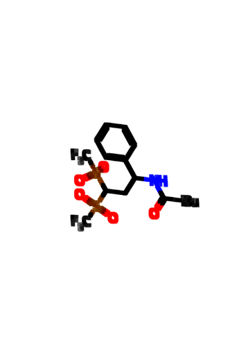 CCC(C)C(=O)NC(CC(S(=O)(=O)C(F)(F)F)S(=O)(=O)C(F)(F)F)c1ccccc1